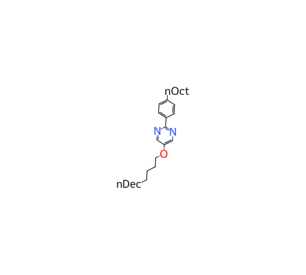 CCCCCCCCCCCCCCOc1cnc(-c2ccc(CCCCCCCC)cc2)nc1